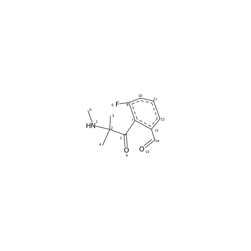 CNC(C)(C)C(=O)c1c(F)cccc1C=O